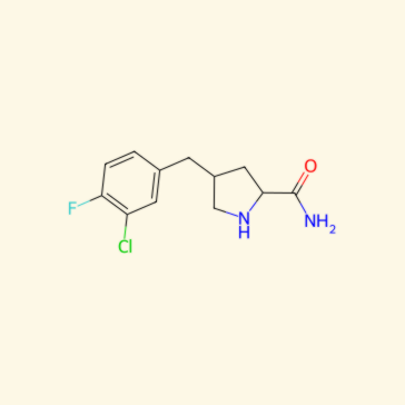 NC(=O)C1CC(Cc2ccc(F)c(Cl)c2)CN1